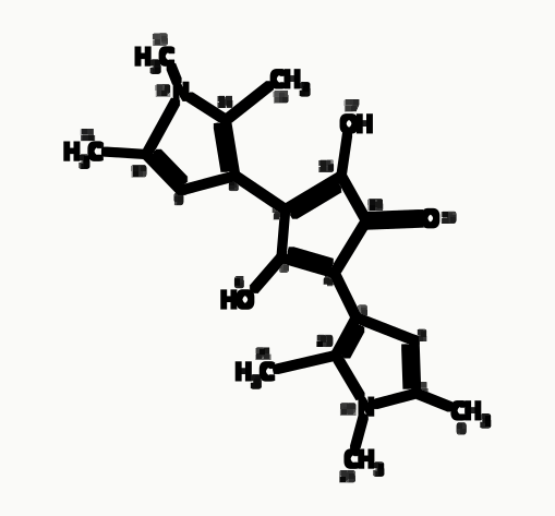 Cc1cc(C2=C(O)C(c3cc(C)n(C)c3C)=C(O)C2=O)c(C)n1C